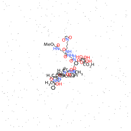 CC[C@H](C)[C@@H]([C@@H](CC(=O)N1CCC[C@H]1[C@H](OC)[C@@H](C)C(=O)N[C@H](C)[C@@H](O)c1ccccc1)OC)N(C)C(=O)[C@@H](NC(=O)[C@H](C(C)C)N(C)C(=O)OCc1ccc(O[C@@H]2O[C@H](C(=O)O)[C@@H](O)[C@H](O)[C@H]2O)c(NC(=O)CCNC(=O)[C@H](CCCCNC(=O)CCOC)NC(=O)CCCCCN2C(=O)C=CC2=O)c1)C(C)C